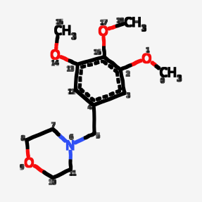 COc1cc(CN2CCOCC2)cc(OC)c1OC